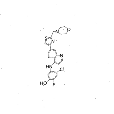 Oc1cc(Nc2ccnc3cc(-c4csc(CN5CCOCC5)n4)ccc23)c(Cl)cc1F